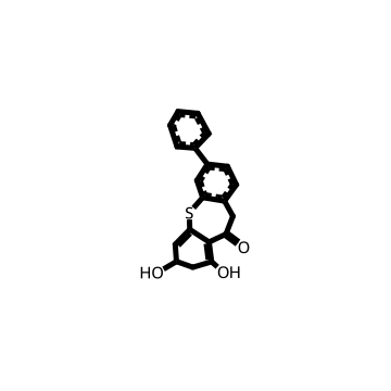 O=C1Cc2ccc(-c3ccccc3)cc2SC2=CC(O)CC(O)=C12